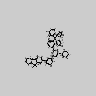 CC1(C)c2ccccc2-c2ccc(-c3cccc(-c4cc(-c5ccccc5)nc(-c5ccc6c(c5)C5(c7ccccc7O6)c6ccccc6-c6ccccc65)n4)c3)cc21